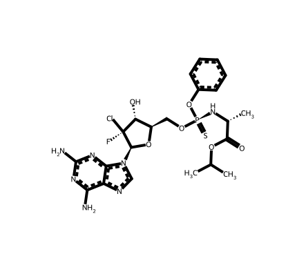 CC(C)OC(=O)[C@@H](C)N[P@@](=S)(OC[C@H]1O[C@@H](n2cnc3c(N)nc(N)nc32)[C@@](F)(Cl)[C@@H]1O)Oc1ccccc1